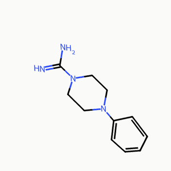 N=C(N)N1CCN(c2ccccc2)CC1